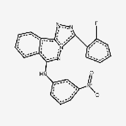 O=[N+]([O-])c1cccc(Nc2nn3c(-c4ccccc4F)nnc3c3ccccc23)c1